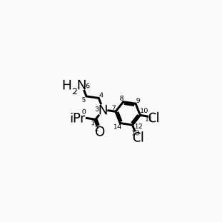 CC(C)C(=O)N(CCN)c1ccc(Cl)c(Cl)c1